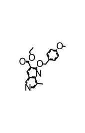 CCOC(=O)c1cc2cncc(C)c2nc1OCc1ccc(OC)cc1